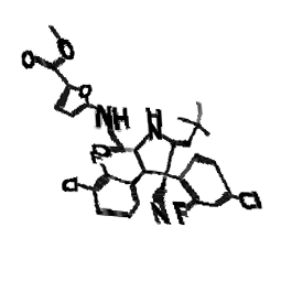 COC(=O)c1ccc(NC(=O)[C@@H]2N[C@@H](CC(C)(C)C)[C@](C#N)(c3ccc(Cl)cc3F)[C@H]2c2cccc(Cl)c2F)o1